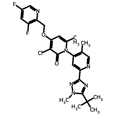 Cc1cnc(-c2nc(C(C)(C)C)n(C)n2)cc1-n1c(C)cc(OCc2ncc(F)cc2F)c(Cl)c1=O